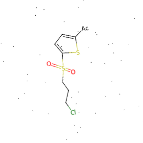 CC(=O)c1ccc(S(=O)(=O)CCCCl)s1